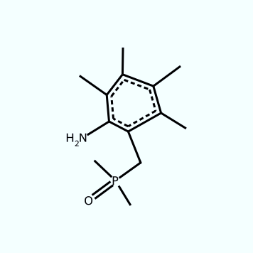 Cc1c(C)c(C)c(CP(C)(C)=O)c(N)c1C